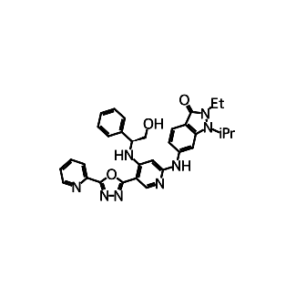 CCn1c(=O)c2ccc(Nc3cc(N[C@H](CO)c4ccccc4)c(-c4nnc(-c5ccccn5)o4)cn3)cc2n1C(C)C